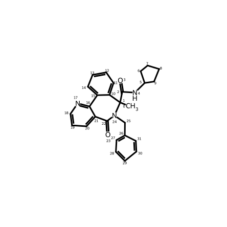 CC1(C(=O)NC2CCCC2)c2ccccc2-c2ncccc2C(=O)N1Cc1ccccc1